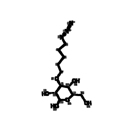 [N-]=[N+]=NCCCCCO[C@H]1[C@H](O)[C@@H](CO)OC(O)[C@@H]1O